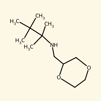 CC(C)(C)C(C)(C)NCC1COCCO1